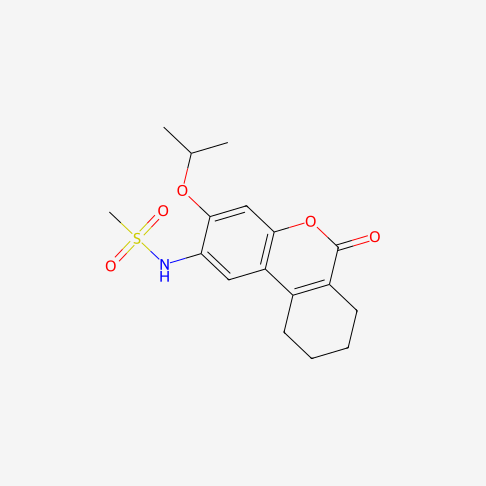 CC(C)Oc1cc2oc(=O)c3c(c2cc1NS(C)(=O)=O)CCCC3